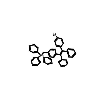 CCc1ccc(C(=C(c2ccccc2)c2ccc(C[PH](c3ccccc3)(c3ccccc3)c3ccccc3)cc2)c2ccccc2)cc1